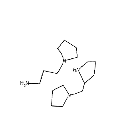 C1CNC(CN2CCCC2)C1.NCCCN1CCCC1